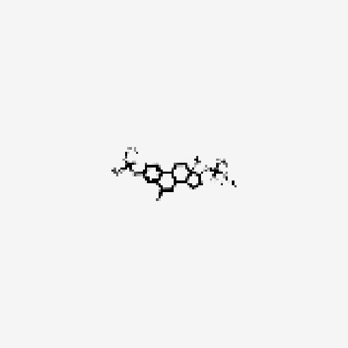 COC(C)(C)Oc1ccc2c(c1)C(=O)CC1C2CC[C@@]2(C)C1CC[C@@H]2OC(C)(C)OC